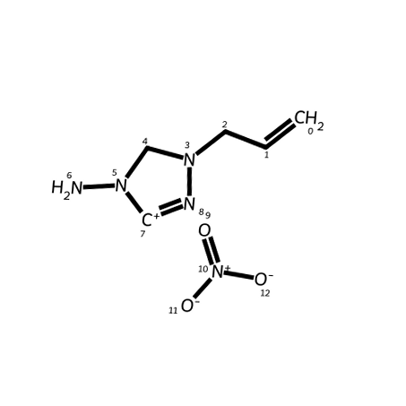 C=CCN1CN(N)[C+]=N1.O=[N+]([O-])[O-]